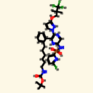 CC(C)(C)OC(=O)NCCCCCCc1ccccc1-c1nc(NS(=O)(=O)c2cccc(F)n2)cnc1-n1ccc(OCC(C)(C)C(F)(F)F)n1